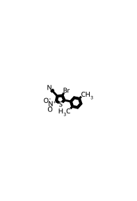 Cc1ccc(C)c(-c2sc([N+](=O)[O-])c(C#N)c2Br)c1